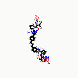 COO/C=N/[C@H](C(=O)N1CCC[C@H]1c1ncc(-c2ccc(CCCc3ccc4[nH]c([C@@H]5CCCN5C(=O)[C@@H](NC(=O)OC)C(C)C)nc4c3)cc2)[nH]1)C(C)C